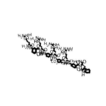 COc1ccc(NC(=O)[C@@H](CCCNC(=N)N)NC(=O)c2cc(NC(=O)[C@@H](CCCNC(=N)N)NC(=O)c3cc(NC(=O)[C@@H](CCCNC(=N)N)NC(=O)c4cc(NC(=O)[C@H](N)CCCNC(=N)N)ccc4OC)ccc3OCC(=O)O)ccc2OC)cc1C(=O)N[C@H](Cc1c[nH]c2ccccc12)C(N)=O